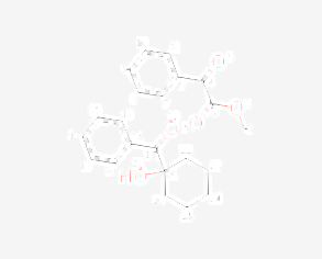 COC(=O)C(=O)c1ccccc1.O=C(c1ccccc1)C1(O)CCCCC1